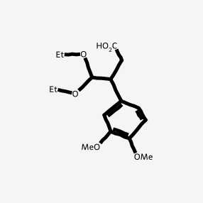 CCOC(OCC)C(CC(=O)O)c1ccc(OC)c(OC)c1